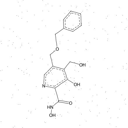 O=C(NO)c1ncc(COCc2ccccc2)c(CO)c1O